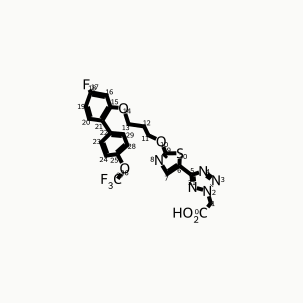 O=C(O)Cn1nnc(-c2cnc(OCCCOc3cc(F)ccc3-c3ccc(OC(F)(F)F)cc3)s2)n1